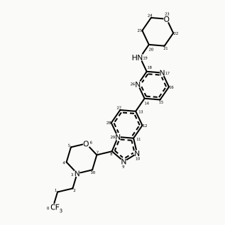 FC(F)(F)CCN1CCOC(c2nnc3cc(-c4ccnc(NC5CCOCC5)n4)ccn23)C1